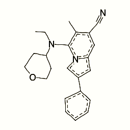 CCN(c1c(C)c(C#N)cc2cc(-c3ccccc3)cn12)C1CCOCC1